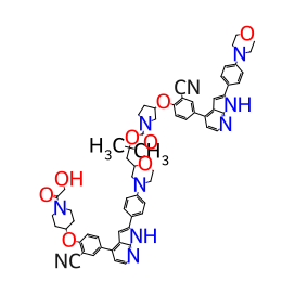 CC(C)(CC1CN(c2ccc(-c3cc4c(-c5ccc(OC6CCN(C(=O)CO)CC6)c(C#N)c5)ccnc4[nH]3)cc2)CCO1)OC(=O)N1CC[C@@H](Oc2ccc(-c3ccnc4[nH]c(-c5ccc(N6CCOCC6)cc5)cc34)cc2C#N)C1